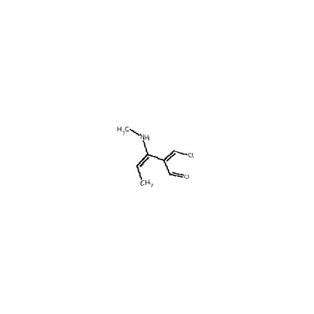 C/C=C(NC)\C(C=O)=C\Cl